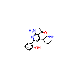 CC(=O)c1c(C2CCCNC2)cc(-c2ccccc2O)nc1N